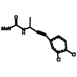 CNC(=O)NC(C)C#Cc1ccc(Cl)c(Cl)c1